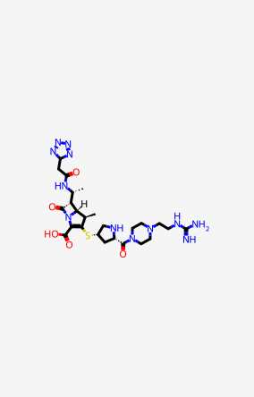 C[C@@H](NC(=O)CC1N=NN=N1)[C@H]1C(=O)N2C(C(=O)O)=C(S[C@@H]3CN[C@H](C(=O)N4CCN(CCNC(=N)N)CC4)C3)[C@H](C)[C@H]12